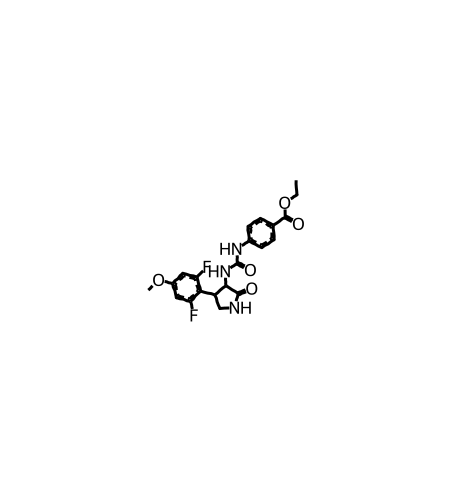 CCOC(=O)c1ccc(NC(=O)NC2C(=O)NCC2c2c(F)cc(OC)cc2F)cc1